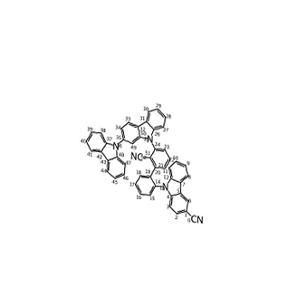 N#Cc1ccc2c(c1)c1ccccc1n2-c1ccccc1-c1cccc(-n2c3ccccc3c3ccc(-n4c5ccccc5c5ccccc54)cc32)c1C#N